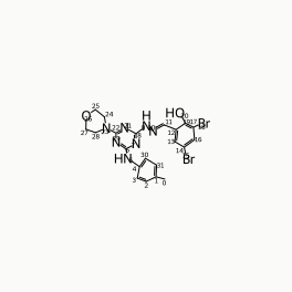 Cc1ccc(Nc2nc(N/N=C/c3cc(Br)cc(Br)c3O)nc(N3CCOCC3)n2)cc1